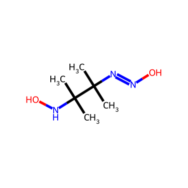 CC(C)(N=NO)C(C)(C)NO